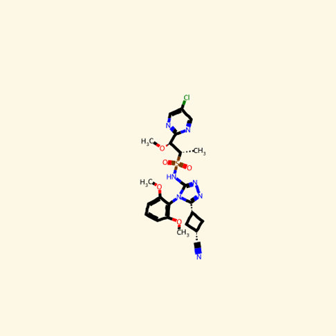 COc1cccc(OC)c1-n1c(NS(=O)(=O)[C@@H](C)[C@H](OC)c2ncc(Cl)cn2)nnc1[C@H]1C[C@@H](C#N)C1